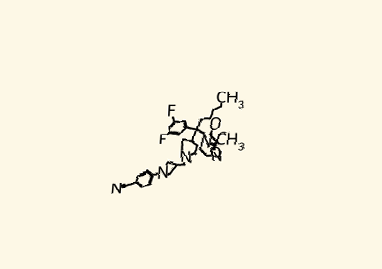 CCCC(CC(Cn1ccnc1C)(c1cc(F)cc(F)c1)C1CCN(CC2CN(c3ccc(C#N)cc3)C2)CC1)OCC=O